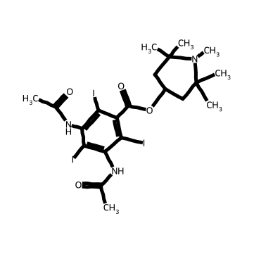 CC(=O)Nc1c(I)c(NC(C)=O)c(I)c(C(=O)OC2CC(C)(C)N(C)C(C)(C)C2)c1I